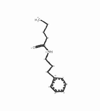 CCCCC(=O)NCCCc1ccccc1